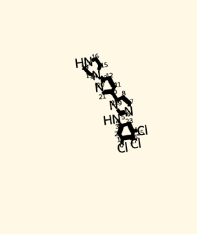 Clc1cc(Nc2nccc(-c3ccc(N4CCNCC4)nc3)n2)cc(Cl)c1Cl